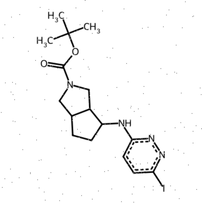 CC(C)(C)OC(=O)N1CC2CCC(Nc3ccc(I)nn3)C2C1